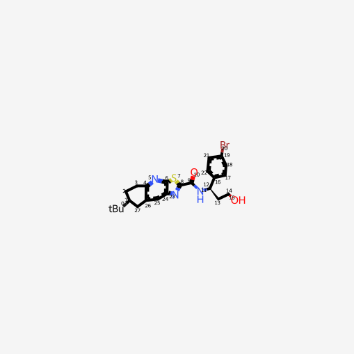 CC(C)(C)C1CCc2nc3sc(C(=O)N[C@H](CCO)c4ccc(Br)cc4)nc3cc2C1